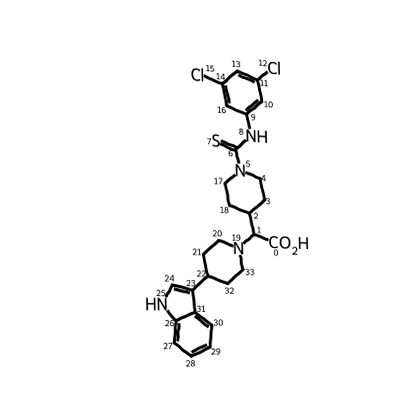 O=C(O)C(C1CCN(C(=S)Nc2cc(Cl)cc(Cl)c2)CC1)N1CCC(c2c[nH]c3ccccc23)CC1